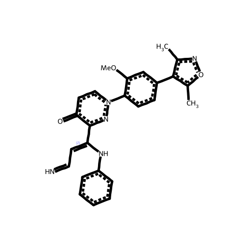 COc1cc(-c2c(C)noc2C)ccc1-n1ccc(=O)c(/C(=C/C=N)Nc2ccccc2)n1